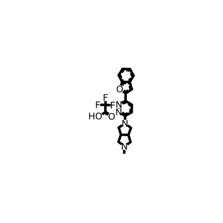 CN1CC2CN(c3ccc(-c4cc5ccccc5o4)nn3)CC2C1.O=C(O)C(F)(F)F